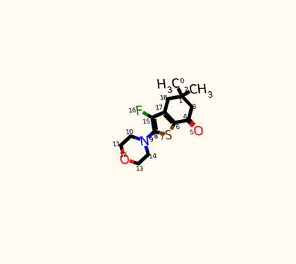 CC1(C)CC(=O)c2sc(N3CCOCC3)c(F)c2C1